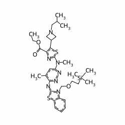 CCOC(=O)c1nc(N(C)c2cc(C)c(N=c3sc4ccccc4n3COCC[Si](C)(C)C)nn2)sc1C1CN(CC(C)C)C1